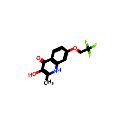 Cc1[nH]c2cc(OCC(F)(F)F)ccc2c(=O)c1O